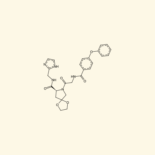 O=C(NCC(=O)N1CC2(C[C@H]1C(=O)NCc1ncc[nH]1)OCCO2)c1ccc(Oc2ccccc2)cc1